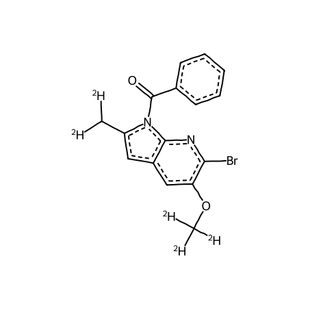 [2H]C([2H])c1cc2cc(OC([2H])([2H])[2H])c(Br)nc2n1C(=O)c1ccccc1